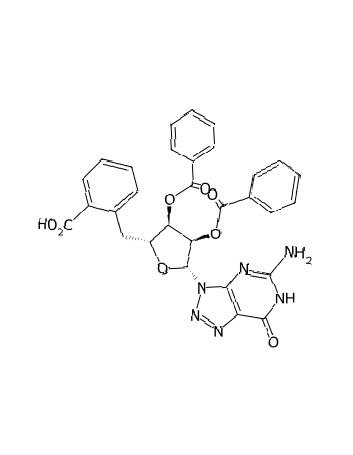 Nc1nc2c(nnn2[C@@H]2O[C@H](Cc3ccccc3C(=O)O)[C@@H](OC(=O)c3ccccc3)[C@H]2OC(=O)c2ccccc2)c(=O)[nH]1